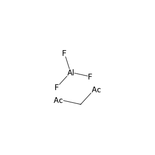 CC(=O)CC(C)=O.[F][Al]([F])[F]